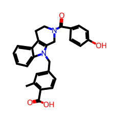 Cc1cc(Cn2c3c(c4ccccc42)CCN(C(=O)c2ccc(O)cc2)C3)ccc1C(=O)O